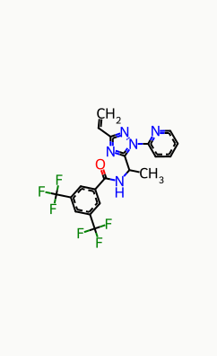 C=Cc1nc(C(C)NC(=O)c2cc(C(F)(F)F)cc(C(F)(F)F)c2)n(-c2ccccn2)n1